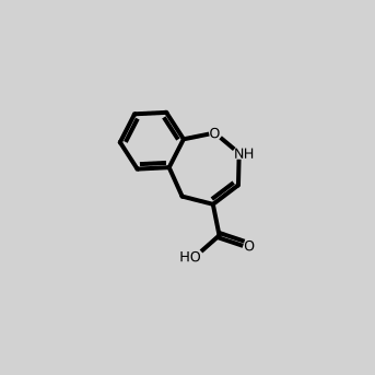 O=C(O)C1=CNOc2ccccc2C1